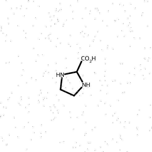 O=C(O)C1NCCN1